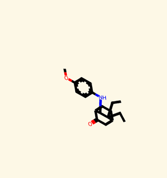 CCC1(CC)C2CCC(C(=O)C2)C1Nc1ccc(OC)cc1